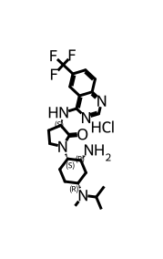 CC(C)N(C)[C@@H]1CC[C@H](N2CC[C@H](Nc3ncnc4ccc(C(F)(F)F)cc34)C2=O)[C@H](N)C1.Cl